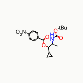 C[C@H](NC(=O)OC(C)(C)C)C(OC(=O)c1ccc([N+](=O)[O-])cc1)C1CC1